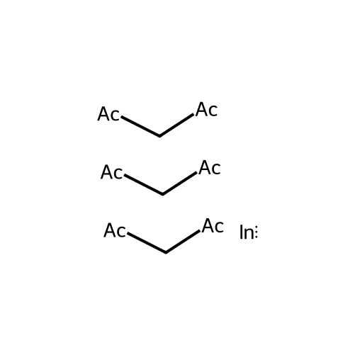 CC(=O)CC(C)=O.CC(=O)CC(C)=O.CC(=O)CC(C)=O.[In]